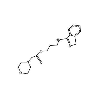 O=C(CN1CCOCC1)OCCCNC1=NCc2ccccc21